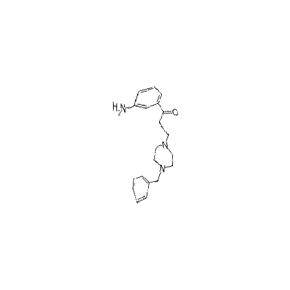 Nc1cccc(C(=O)CCN2CCN(Cc3ccccc3)CC2)c1